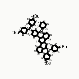 CC(C)(C)c1ccc(B(c2ccc(C(C)(C)C)cc2)c2ccc3c(c2)N(c2ccccc2)c2cccc4c2c-3cc2c3ccccc3c(B(c3ccc(C(C)(C)C)cc3)c3ccc(C(C)(C)C)cc3)cc42)cc1